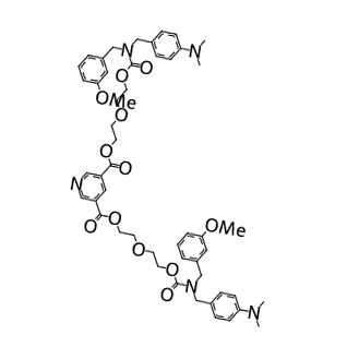 COc1cccc(CN(Cc2ccc(N(C)C)cc2)C(=O)OCCOCCOC(=O)c2cncc(C(=O)OCCOCCOC(=O)N(Cc3ccc(N(C)C)cc3)Cc3cccc(OC)c3)c2)c1